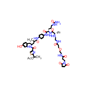 CC(=O)OC(C)c1nc(C(=O)NC(Cc2ccc(O)cc2)CC(C)C(=O)Nc2ccc(NC(=O)[C@H](CCCNC(N)=O)NC(=O)[C@@H](NCCNC(=O)CCOCCNC(=O)CCN3C(=O)C=CC3=O)C(C)C)cc2)cs1